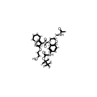 CC(=O)NC[C@H]1CN(S(=O)(=O)c2c(OCCO)nn3c2CCCC3)c2cc(NC(=O)OC(C)(C)C(F)(F)F)ccc2O1